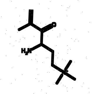 C=C(C)C(=O)C(N)CC[N+](C)(C)C